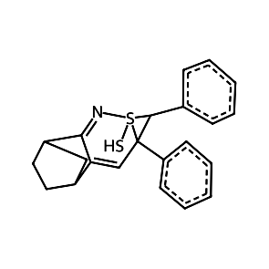 SS12N=C3C(=CC1(c1ccccc1)C2c1ccccc1)C1CCC3C1